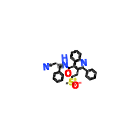 C[S+]([O-])CCc1c(-c2ccccc2)nc2ccccc2c1C(=O)N[C@@H](CC#N)c1ccccc1